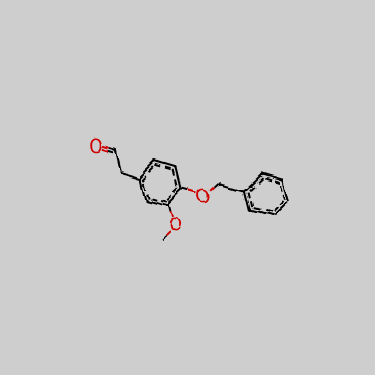 COc1cc(CC=O)ccc1OCc1ccccc1